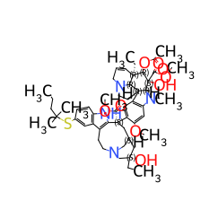 CCCC(C)(C)Sc1ccc2[nH]c3c(c2c1)CCN1C[C@H](C[C@@](O)(CC)C1)C[C@]3(C(=O)OC)c1cc2c(cc1OC)N(C)[C@H]1[C@@](O)(C(=O)OC)[C@H](OC(C)=O)[C@]3(CC)C=CCN4CC[C@]21[C@@H]43